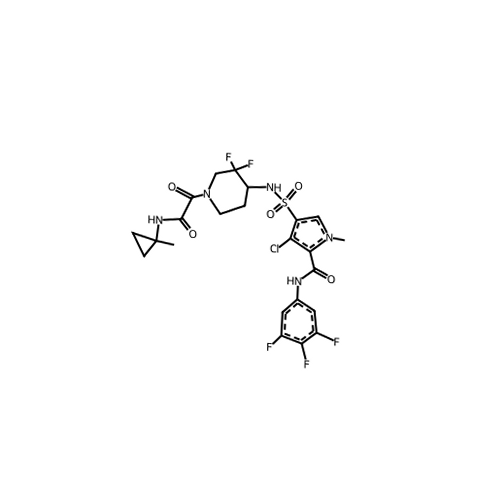 Cn1cc(S(=O)(=O)NC2CCN(C(=O)C(=O)NC3(C)CC3)CC2(F)F)c(Cl)c1C(=O)Nc1cc(F)c(F)c(F)c1